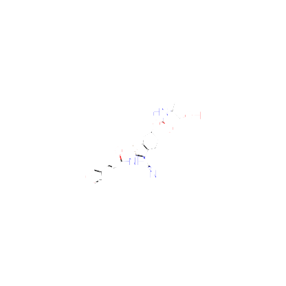 CC(CO)NC(=O)OC1CCc2c(sc(NC(=O)C=Cc3ccoc3)c2C#N)C1